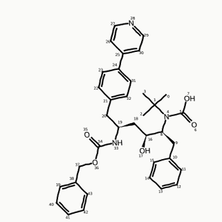 CC(C)(C)N(C(=O)O)[C@@H](Cc1ccccc1)[C@@H](O)C[C@H](Cc1ccc(-c2ccncc2)cc1)NC(=O)OCc1ccccc1